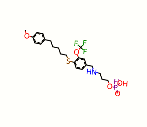 COc1ccc(CCCCCSc2ccc(CNCCCO[PH](=O)O)cc2OC(F)(F)F)cc1